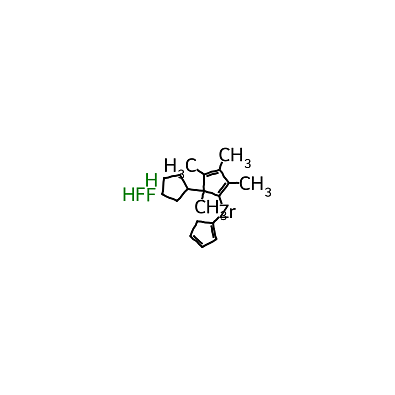 CC1=C(C)C(C)(C2CCCC2)[C]([Zr][C]2=CC=CC2)=C1C.F.F